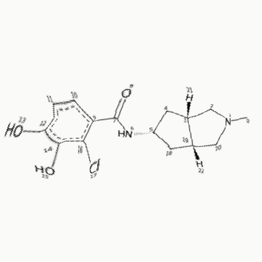 CN1C[C@H]2C[C@@H](NC(=O)c3ccc(O)c(O)c3Cl)C[C@H]2C1